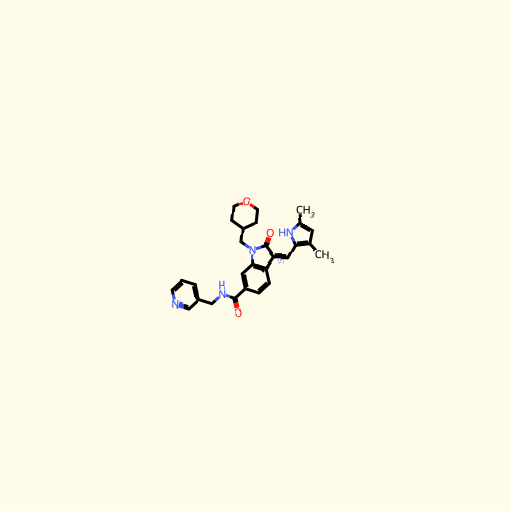 Cc1cc(C)c(/C=C2\C(=O)N(CC3CCOCC3)c3cc(C(=O)NCc4cccnc4)ccc32)[nH]1